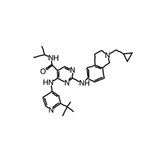 CC(C)NC(=O)c1cnc(Nc2ccc3c(c2)CCN(CC2CC2)C3)nc1Nc1ccnc(C(C)(C)C)c1